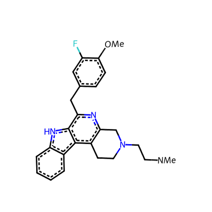 CNCCN1CCc2c(nc(Cc3ccc(OC)c(F)c3)c3[nH]c4ccccc4c23)C1